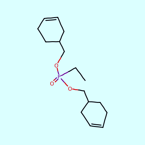 CCP(=O)(OCC1CC=CCC1)OCC1CC=CCC1